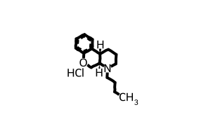 CCCCN1CCC[C@H]2c3ccccc3OC[C@@H]21.Cl